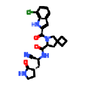 N#C[C@H](C[C@@H]1CCNC1=O)NC(=O)C1CC2(CCC2)CN1C(=O)c1cc2cccc(Cl)c2[nH]1